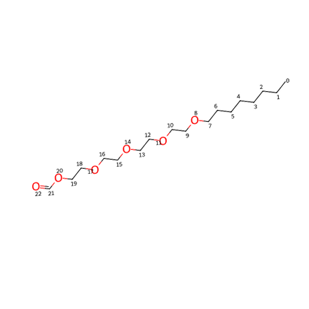 CCCCCCCCOCCOCCOCCOCCOC=O